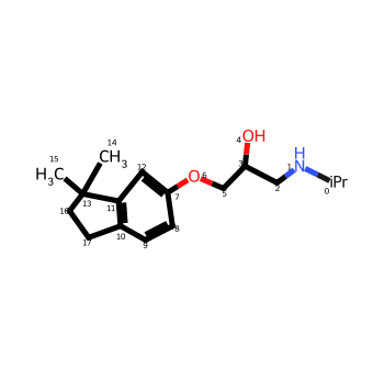 CC(C)NCC(O)COc1ccc2c(c1)C(C)(C)CC2